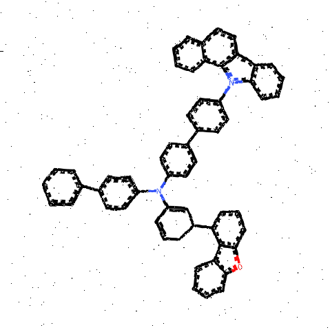 C1=CC(N(c2ccc(-c3ccccc3)cc2)c2ccc(-c3ccc(-n4c5ccccc5c5ccc6ccccc6c54)cc3)cc2)=CC(c2cccc3oc4ccccc4c23)C1